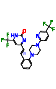 O=c1nc(/C=C/c2ccccc2N2CCN(c3ccc(C(F)(F)F)cn3)CC2)cc(C(F)(F)F)[nH]1